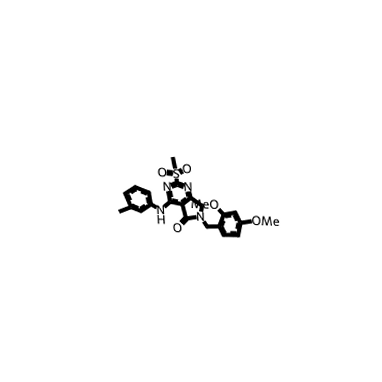 COc1ccc(CN2Cc3nc(S(C)(=O)=O)nc(Nc4cccc(C)c4)c3C2=O)c(OC)c1